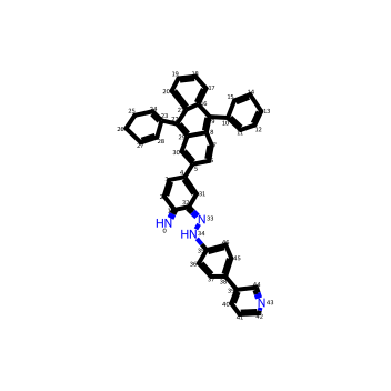 N=C1C=CC(c2ccc3c(-c4ccccc4)c4ccccc4c(C4=CCCC=C4)c3c2)=C/C1=N/Nc1ccc(-c2cccnc2)cc1